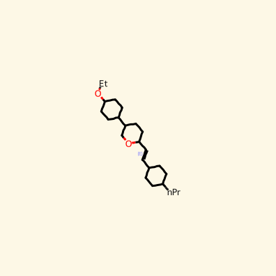 CCCC1CCC(/C=C/C2CCC(C3CCC(OCC)CC3)CO2)CC1